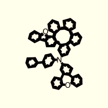 c1ccc(-c2ccc(N(c3ccc4c(c3)-c3ccccc3Oc3ccccc3-4)c3ccc4c5ccccc5c5ccccc5c5ccccc5c5c(ccc6c7ccccc7oc65)c4c3)cc2)cc1